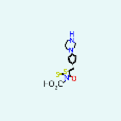 O=C(O)CN1C(=O)C(=Cc2ccc(N3CCCNCC3)cc2)SC1=S